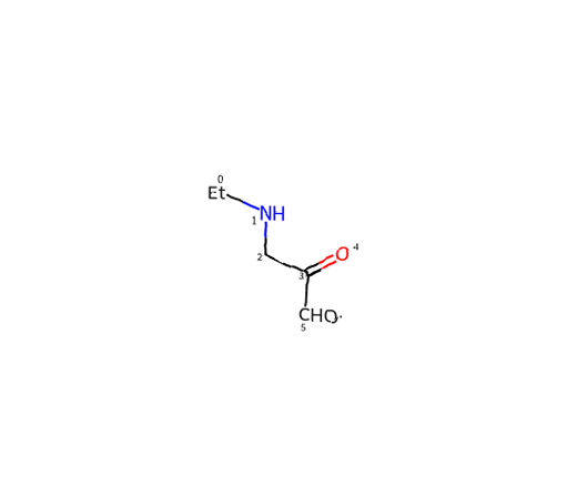 CCNCC(=O)[C]=O